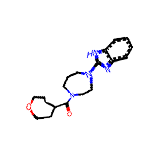 O=C(C1CCOCC1)N1CCCN(c2nc3ccccc3[nH]2)CC1